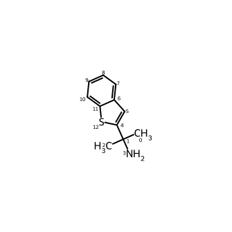 CC(C)(N)c1cc2ccccc2s1